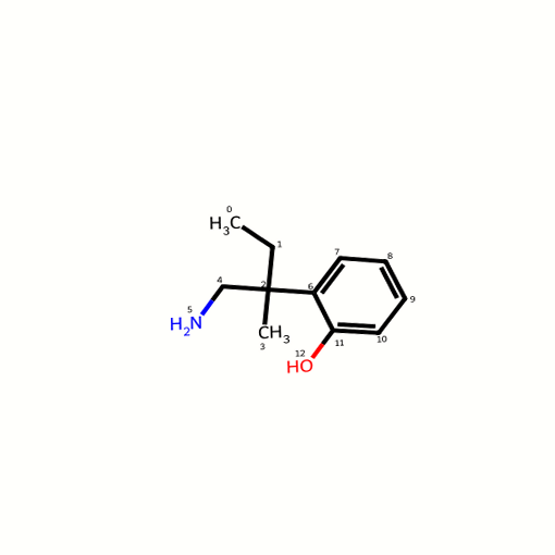 CCC(C)(CN)c1ccccc1O